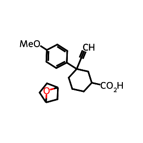 C#CC1(c2ccc(OC)cc2)CCCC(C(=O)O)C1.C1CC2CC1O2